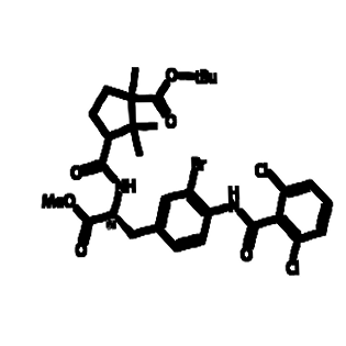 COC(=O)[C@H](Cc1ccc(NC(=O)c2c(Cl)cccc2Cl)c(Br)c1)NC(=O)C1CCC(C)(C(=O)OC(C)(C)C)C1(C)C